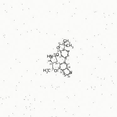 C[C@@H](Oc1cc(-c2ccc3c(c2)OCC3(C)C)cc2ncsc12)[C@H]1CNC(=O)C1